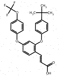 CC(C)(C)c1ccc(Oc2cc(Oc3ccc(OC(F)(F)F)cc3)ccc2/C=C/C(=O)O)cc1